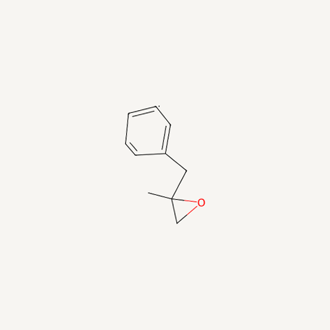 CC1(Cc2c[c]ccc2)CO1